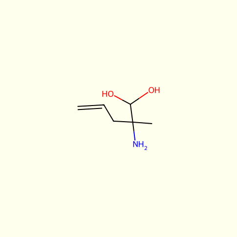 C=CCC(C)(N)C(O)O